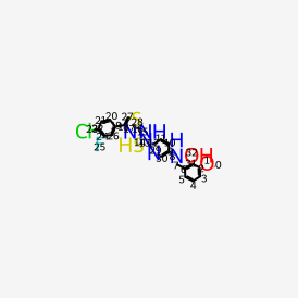 COc1cccc(CNc2ccc(N(S)Nc3nc(-c4ccc(Cl)c(F)c4)cs3)nc2)c1O